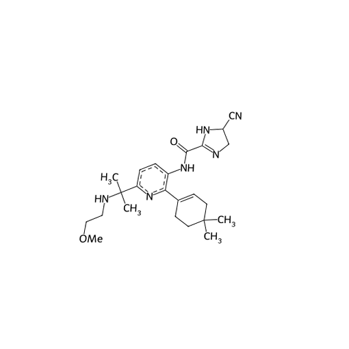 COCCNC(C)(C)c1ccc(NC(=O)C2=NCC(C#N)N2)c(C2=CCC(C)(C)CC2)n1